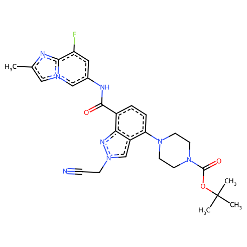 Cc1cn2cc(NC(=O)c3ccc(N4CCN(C(=O)OC(C)(C)C)CC4)c4cn(CC#N)nc34)cc(F)c2n1